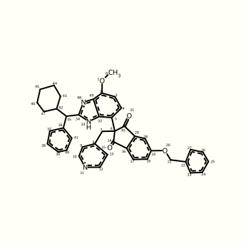 COc1ccc(C2(Cc3ccncc3)C(=O)c3ccc(OCc4ccccc4)cc3C2=O)c2[nH]c(C(c3ccccc3)C3CCCCC3)nc12